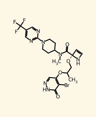 CC(CO[C@]1(C(=O)N(C)C2CCN(c3ncc(C(F)(F)F)cn3)CC2)C=CN1)Oc1cn[nH]c(=O)c1Br